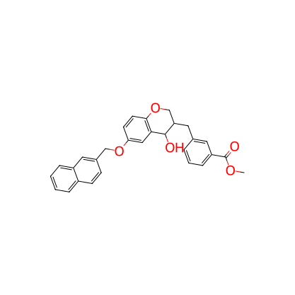 COC(=O)c1cccc(CC2COc3ccc(OCc4ccc5ccccc5c4)cc3C2O)c1